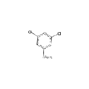 CCCCCc1cc(Cl)cc(Cl)c1